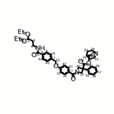 CCOC(CCNC(=O)c1ccc(COc2ccc(C(=O)N3CC(C(=O)OC4CN5CCC4CC5)(c4ccccc4)C3)cc2)cc1)OCC